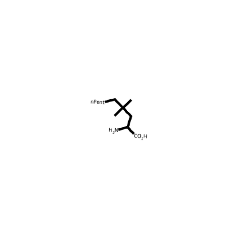 CCCCCCC(C)(C)CC(N)C(=O)O